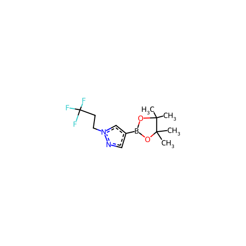 CC1(C)OB(c2cnn(CCC(F)(F)F)c2)OC1(C)C